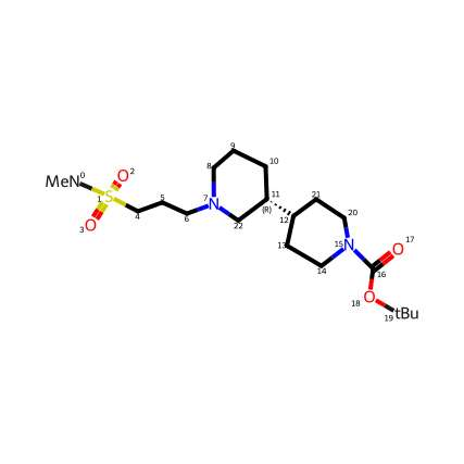 CNS(=O)(=O)CCCN1CCC[C@H](C2CCN(C(=O)OC(C)(C)C)CC2)C1